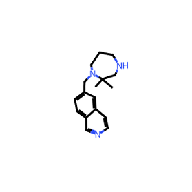 CC1(C)CNCCCN1Cc1ccc2cnccc2c1